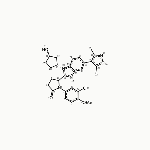 COc1ccc(N2C(=O)CCC2c2nc3cc(-c4c(C)noc4C)ccc3n2[C@@H]2CC[C@@H](O)C2)cc1Cl